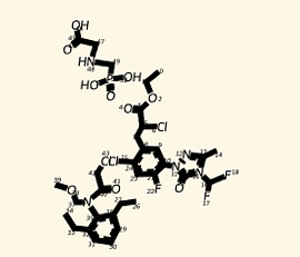 CCOC(=O)C(Cl)Cc1cc(-n2nc(C)n(C(F)F)c2=O)c(F)cc1Cl.CCc1cccc(CC)c1N(COC)C(=O)CCl.O=C(O)CNCP(=O)(O)O